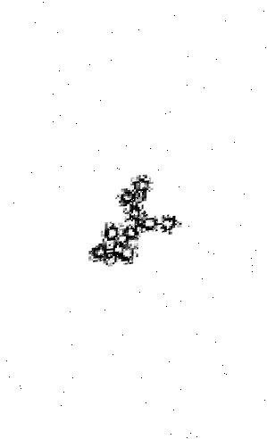 c1ccc(-c2ccc(N(c3ccc(-c4c(-c5ccccc5)c5c6ccccc6oc5c5ccccc45)cc3)c3ccc(-c4cccc5c4oc4ccccc45)cc3)cc2)cc1